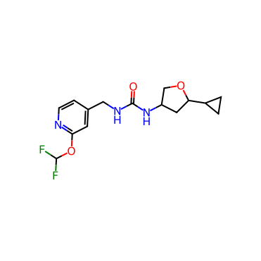 O=C(NCc1ccnc(OC(F)F)c1)NC1COC(C2CC2)C1